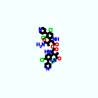 C=C(C(N)=O)c1c(C(=O)OC(=O)c2[nH]c3cc(Cl)c(-c4ccncc4)c(Cl)c3c2C(=C)C(N)=O)[nH]c2cc(Cl)c(-c3ccncc3)c(Cl)c12